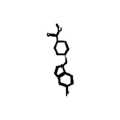 COC(=O)[C@H]1CC[C@H](Cn2ccc3cc(F)ccc32)CC1